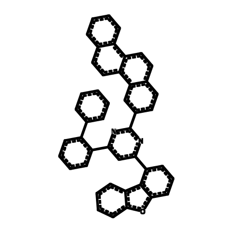 c1ccc(-c2ccccc2-c2cc(-c3cccc4oc5ccccc5c34)nc(-c3ccc4ccc5c6ccccc6ccc5c4c3)n2)cc1